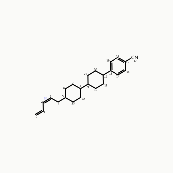 C=C/C=C\CC1CCC(C2CCC(c3ccc(C#N)cc3)CC2)CC1